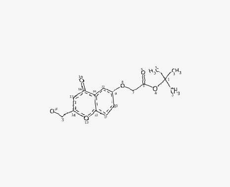 CC(C)(C)OC(=O)COc1ccc2oc(CCl)cc(=O)c2c1